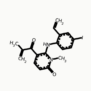 C=Cc1cc(I)ccc1Nc1c(C(=O)C(=C)C)ccc(=O)n1C